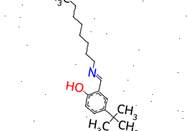 CCCCCCCC/N=C/c1cc(C(C)(C)C)ccc1O